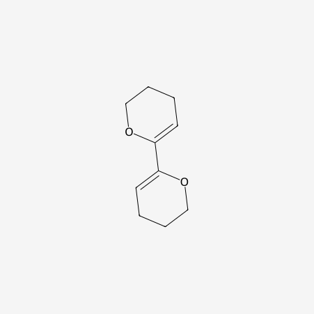 C1=C(C2=CCCCO2)OCCC1